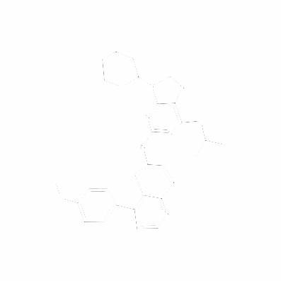 COc1ccc(-c2ccnc3ccc(Nc4nc(OC(C)C)c5ncn(C6CCCCO6)c5n4)cc23)cc1